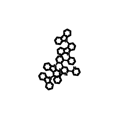 c1ccc(-c2nc(-c3ccccn3)cc(-c3c(-c4ccccc4-n4c5ccccc5c5c(-n6c7ccccc7c7ccccc76)cccc54)cccc3-n3c4ccccc4c4c(-n5c6ccccc6c6ccccc65)cccc43)n2)cc1